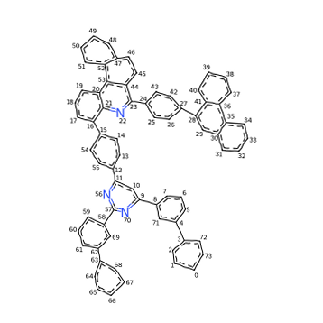 c1ccc(-c2cccc(-c3cc(-c4ccc(-c5cccc6c5nc(-c5ccc(-c7cc8ccccc8c8ccccc78)cc5)c5ccc7ccccc7c56)cc4)nc(-c4cccc(-c5ccccc5)c4)n3)c2)cc1